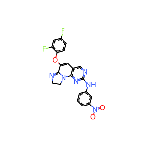 O=[N+]([O-])c1cccc(Nc2ncc3c(n2)N2CCN=C2C(Oc2ccc(F)cc2F)=C3)c1